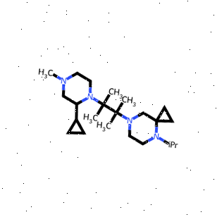 CC(C)N1CCN(C(C)(C)C(C)(C)N2CCN(C)CC2C2CC2)CC12CC2